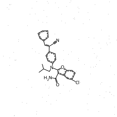 CC(C)CN(c1ccc(/C(C#N)=C/c2ccccc2)cc1)c1oc2ccc(Cl)cc2c1C(N)=O